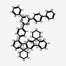 c1ccc(-c2ccc(-c3nc(-c4ccccc4)nc(-c4ccc(-c5cccc6c5-c5cc7c(cc5C65CCCCC5)-c5ccccc5C75CCCCC5)cc4)n3)cc2)cc1